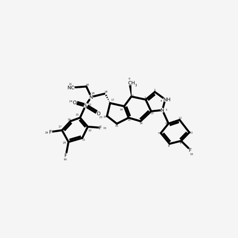 C[C@H]1C2=CNN(c3ccc(F)cc3)C2=CC2=C1[C@@H](CN(CC#N)S(=O)(=O)c1cc(F)c(F)cc1F)CC2